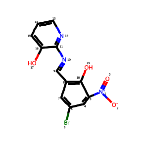 O=[N+]([O-])c1cc(Br)cc(/C=N/c2ncccc2O)c1O